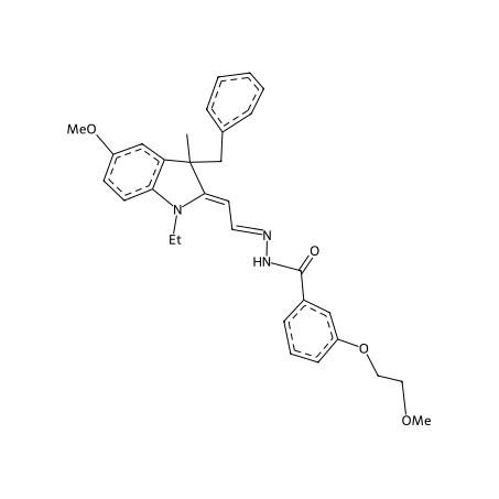 CCN1/C(=C\C=N\NC(=O)c2cccc(OCCOC)c2)C(C)(Cc2ccccc2)c2cc(OC)ccc21